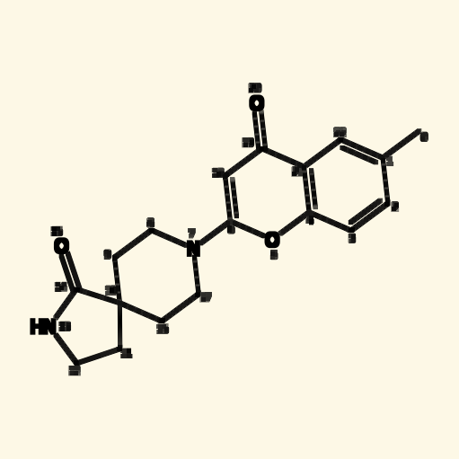 Cc1ccc2oc(N3CCC4(CCNC4=O)CC3)cc(=O)c2c1